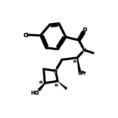 CCC[C@@H](CN1C[C@H](O)[C@H]1C)N(C)C(=O)c1ccc(Cl)cc1